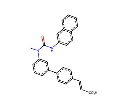 CN(C(=O)Nc1ccc2ccccc2c1)c1cccc(-c2ccc(C=CC(=O)O)cc2)c1